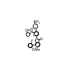 COc1cccc(F)c1-c1nccc2c1CN(c1ccc(N3CCN(C)CC3)c(N[C@@H]3CCC[C@@H]3O)n1)C2=O